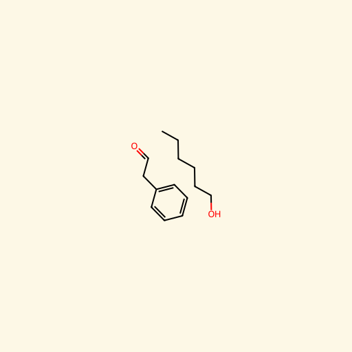 CCCCCCO.O=CCc1ccccc1